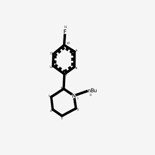 CCCCN1CCCCC1c1ccc(F)cc1